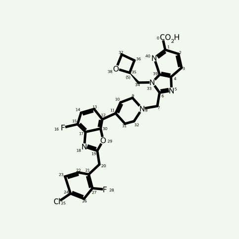 O=C(O)c1ccc2nc(CN3CC=C(c4ccc(F)c5nc(Cc6ccc(Cl)cc6F)oc45)CC3)n(C[C@@H]3CCO3)c2n1